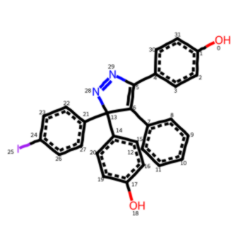 Oc1ccc(C2=C(c3ccccc3)C(c3ccc(O)cc3)(c3ccc(I)cc3)N=N2)cc1